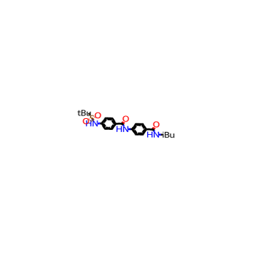 CCC(C)NC(=O)c1ccc(NC(=O)c2ccc(NS(=O)(=O)C(C)(C)C)cc2)cc1